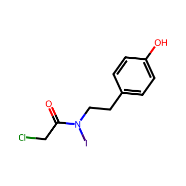 O=C(CCl)N(I)CCc1ccc(O)cc1